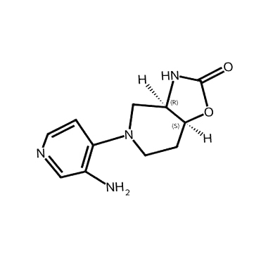 Nc1cnccc1N1CC[C@@H]2OC(=O)N[C@@H]2C1